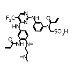 C=CC(=O)Nc1cc(Nc2nc(Nc3cccc(N(CS(=O)(=O)O)C(=O)C=C)c3)ncc2C(F)(F)F)ccc1N(C)CCN(C)C